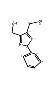 OCC1=NC(c2ccccc2)N=C1CO